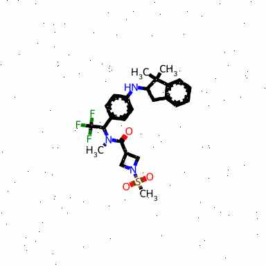 CN(C(=O)C1CN(S(C)(=O)=O)C1)C(c1ccc(NC2Cc3ccccc3C2(C)C)cc1)C(F)(F)F